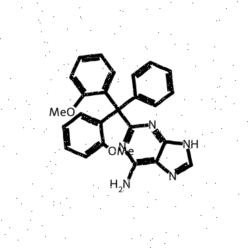 COc1ccccc1C(c1ccccc1)(c1nc(N)c2nc[nH]c2n1)c1ccccc1OC